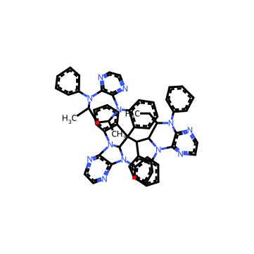 CCC1C2C(C3(c4ccccc4N4c5nccnc5N(c5ccccc5)C(C)CC4C)c4ccccc4N4c5nccnc5N(c5ccccc5)C43)c3ccccc3N2c2nccnc2N1c1ccccc1